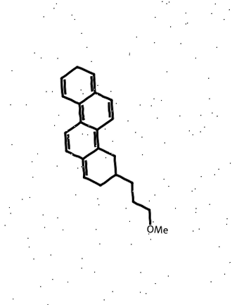 COCCCC1CC=c2ccc3c4c(ccc3c2C1)=CCC=C4